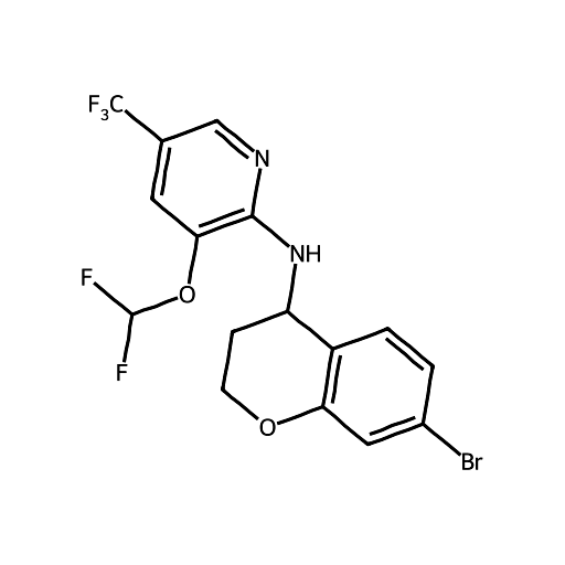 FC(F)Oc1cc(C(F)(F)F)cnc1NC1CCOc2cc(Br)ccc21